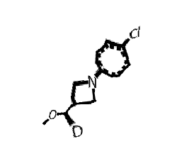 COC(=O)C1CN(c2ccc(Cl)cc2)C1